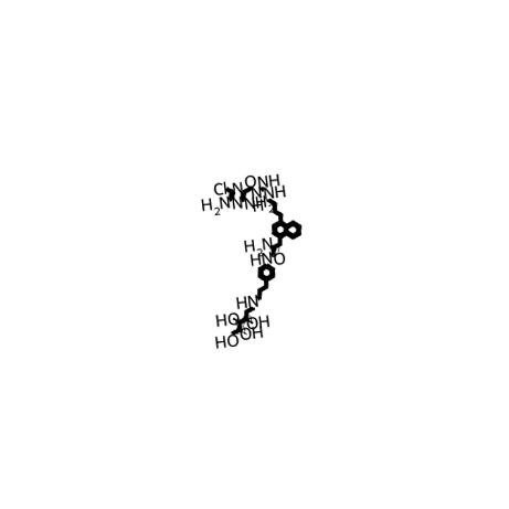 N=C(NCCCCc1ccc(C[C@H](N)C(=O)Nc2ccc(CCCNCC[C@@H](O)[C@H](O)[C@H](O)CO)cc2)c2ccccc12)NC(=O)c1nc(Cl)c(N)nc1N